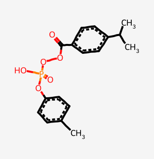 Cc1ccc(OP(=O)(O)OOC(=O)c2ccc(C(C)C)cc2)cc1